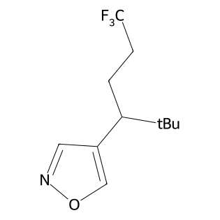 CC(C)(C)C(CCC(F)(F)F)c1cnoc1